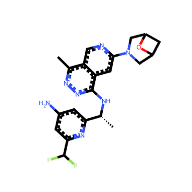 Cc1nnc(N[C@H](C)c2cc(N)cc(C(F)F)n2)c2cc(N3CC4CC(C3)O4)ncc12